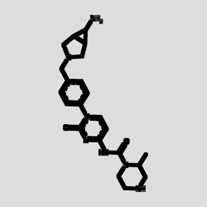 CC1CNCCN1C(=O)Nc1ccn(-c2ccc(CN3CC4C(N)C4C3)cc2)c(=O)n1